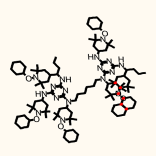 CCCC(Nc1nc(NC2CC(C)(C)N(OC3CCCCC3)C(C)(C)C2)nc(N(CCCCCCN(c2nc(NC3CC(C)(C)N(OC4CCCCC4)C(C)(C)C3)nc(NC(CCC)C3CC(C)(C)N(OC4CCCCC4)C(C)(C)C3)n2)C2CC(C)(C)N(OC3CCCCC3)C(C)(C)C2)C2CC(C)(C)N(OC3CCCCC3)C(C)(C)C2)n1)C1CC(C)(C)N(OC2CCCCC2)C(C)(C)C1